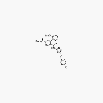 COc1ccccc1-c1cc(C(=O)OC(C)C)ncc1C(=O)Nc1nnc(OCc2ccc(Cl)cn2)s1